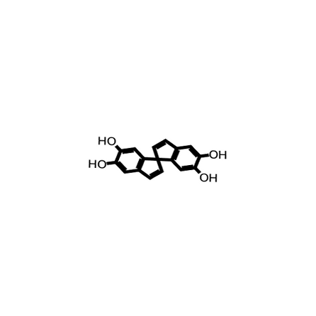 Oc1cc2c(cc1O)C1(C=C2)C=Cc2cc(O)c(O)cc21